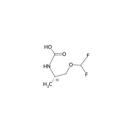 C[C@@H](COC(F)F)NC(=O)O